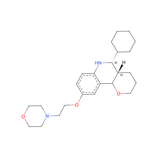 c1cc2c(cc1OCCN1CCOCC1)C1OCCC[C@H]1[C@@H](C1CCCCC1)N2